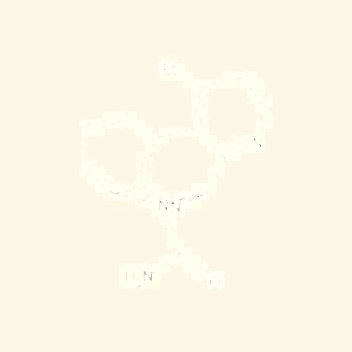 CCc1ccnc2c1c1[c]ccc3c1nc2n3C(N)=O